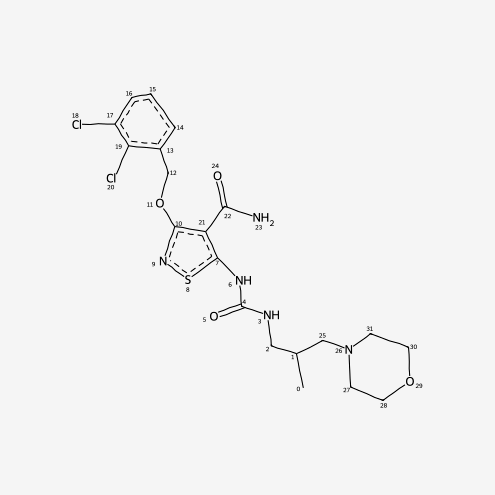 CC(CNC(=O)Nc1snc(OCc2cccc(Cl)c2Cl)c1C(N)=O)CN1CCOCC1